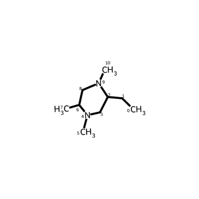 CCC1CN(C)C(C)CN1C